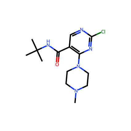 CN1CCN(c2nc(Cl)ncc2C(=O)NC(C)(C)C)CC1